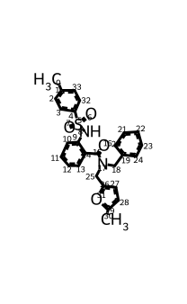 Cc1ccc(S(=O)(=O)Nc2ccccc2C(=O)N(Cc2ccccc2)Cc2ccc(C)o2)cc1